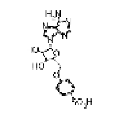 Nc1ncnc2c1ncn2[C@@H]1O[C@H](COc2ccc(S(=O)(=O)O)cc2)[C@@H](O)[C@H]1O